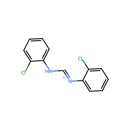 Clc1ccccc1/N=C/Nc1ccccc1Cl